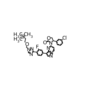 C[Si](C)(C)CCOCn1cnc(-c2ccc(-c3cnn4ccc(N5C(=O)OCC5c5cccc(Cl)c5)nc34)cc2F)n1